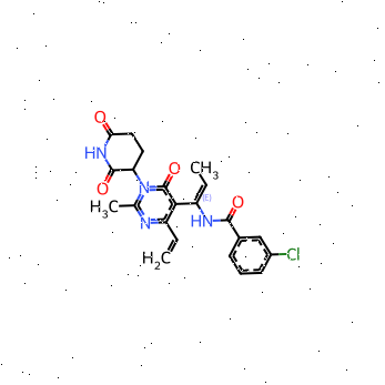 C=Cc1nc(C)n(C2CCC(=O)NC2=O)c(=O)c1/C(=C\C)NC(=O)c1cccc(Cl)c1